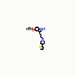 CCCCOc1ccc2[nH]cc(CCCCN3CC=C(c4cccs4)CC3)c2c1